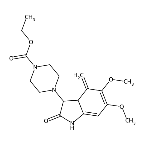 C=C1C(OC)=C(OC)C=C2NC(=O)C(N3CCN(C(=O)OCC)CC3)C12